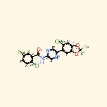 O=C(Nc1cnc(-c2cc3c(cc2Cl)OC(F)(F)O3)cn1)c1cc(F)ccc1Cl